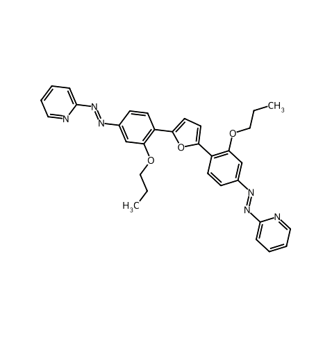 CCCOc1cc(N=Nc2ccccn2)ccc1-c1ccc(-c2ccc(N=Nc3ccccn3)cc2OCCC)o1